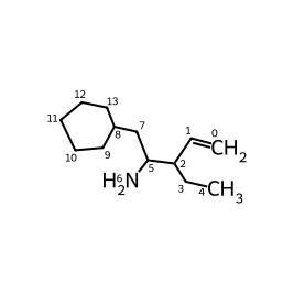 C=CC(CC)C(N)CC1CCCCC1